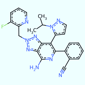 CC(C)n1nccc1-c1c(-c2ccccc2C#N)nc(N)c2nn(Cc3ncccc3F)nc12